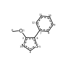 COc1ncsc1-c1ccccc1